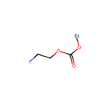 CCOC(=O)OCCI